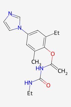 C=C(NC(=O)NCC)Oc1c(C)cc(-n2ccnc2)cc1CC